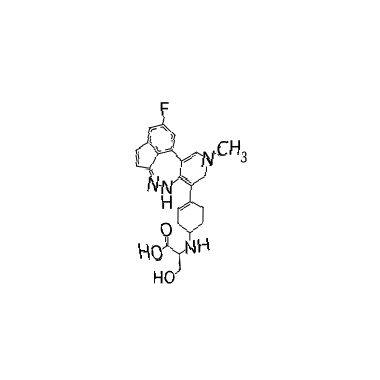 CN1C=C2C(=C(C3=CCC(N[C@@H](CO)C(=O)O)CC3)C1)NN=C1C=Cc3cc(F)cc2c31